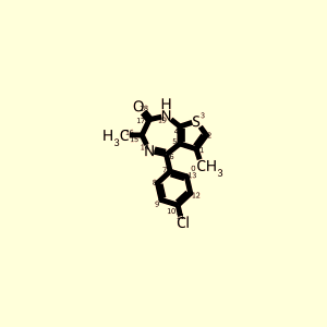 Cc1csc2c1C(c1ccc(Cl)cc1)=NC(C)C(=O)N2